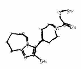 Cc1nc2n(c1C1CCN(C(=O)OC(C)(C)C)CC1)CCCC2